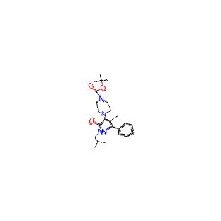 Cc1c(-c2ccccc2)nn(CC(C)C)c(=O)c1N1CCN(C(=O)OC(C)(C)C)CC1